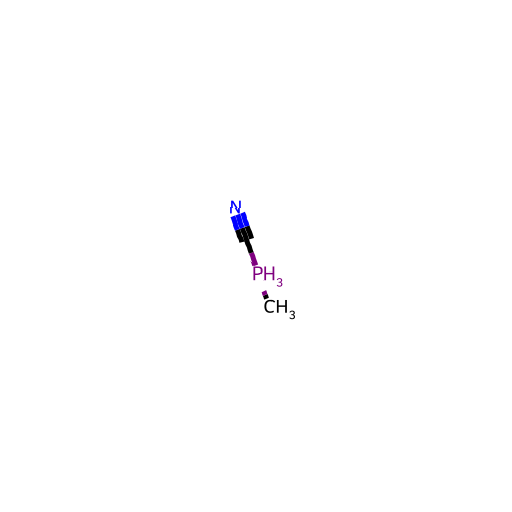 C[PH3]C#N